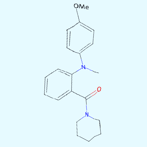 COc1ccc(N(C)c2ccccc2C(=O)N2CCCCC2)cc1